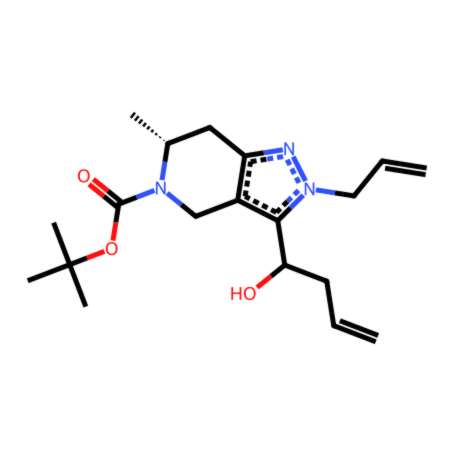 C=CCC(O)c1c2c(nn1CC=C)C[C@@H](C)N(C(=O)OC(C)(C)C)C2